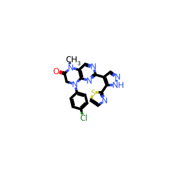 CN1C(=O)CN(c2ccc(Cl)cc2)c2nc(-c3cn[nH]c3-c3nccs3)ncc21